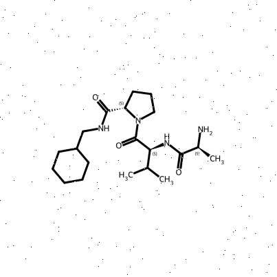 CC(C)[C@H](NC(=O)[C@H](C)N)C(=O)N1CCC[C@H]1C(=O)NCC1CCCCC1